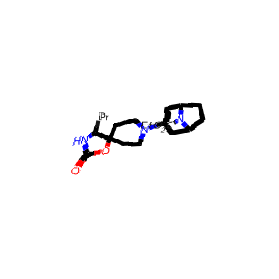 CCOC(=O)N1C2C=C(N3CCC4(CC3)OC(=O)NC4C(C)C)CC1CC2